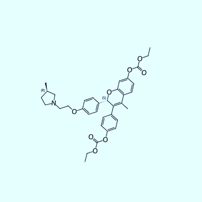 CCOC(=O)Oc1ccc(C2=C(C)c3ccc(OC(=O)OCC)cc3O[C@H]2c2ccc(OCCN3CC[C@@H](C)C3)cc2)cc1